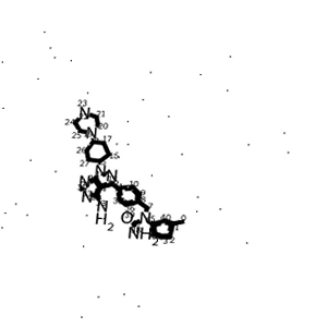 Cc1cccc(N(Cc2ccc(-c3nn([C@H]4CC[C@H](N5CCN(C)CC5)CC4)c4ncnc(N)c34)cc2)C(N)=O)c1